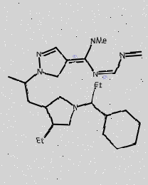 C=N/C=N\C(NC)=C1\C=NN(C(C)CC2CN(C(CC)C3CCCCC3)CC2CC)C1